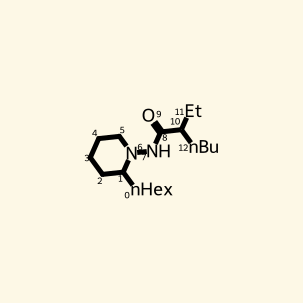 CCCCCCC1CCCCN1NC(=O)C(CC)CCCC